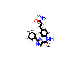 CN(C)C(=O)/C=C/c1ccc2[nH]c(=O)c3cnc(C4CCCCC4)n3c2c1